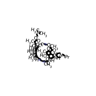 C/C1=C/C=C/[C@H](C)[C@H](O)[C@@H](C)C(O)[C@@H](C)[C@H](OC(=O)C(C)C(=O)OCCN(C)C)CC/C=C/OC2(C)Oc3c(C)c(O)c4c(c3C2=O)C2=NC3(CCN(CC(C)C)CC3)NC2=C(NC1=O)C4=O